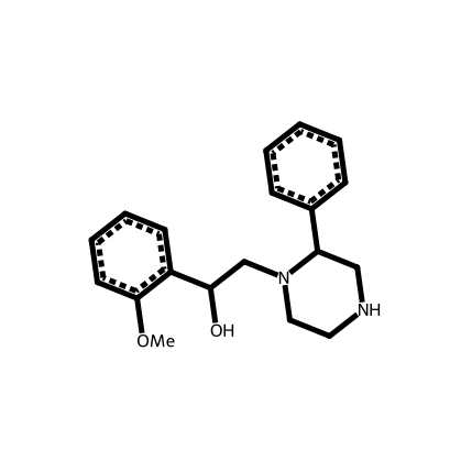 COc1ccccc1C(O)CN1CCNCC1c1ccccc1